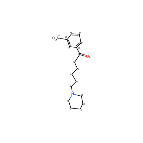 O=C(CCCCCN1CC[CH]CC1)c1cccc([N+](=O)[O-])c1